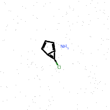 Clc1c2cccc1-2.N